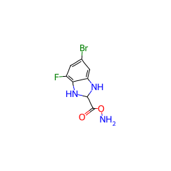 NOC(=O)C1Nc2cc(Br)cc(F)c2N1